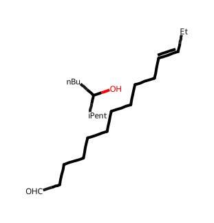 CCC=CCCCCCCCCCC=O.CCCCC(O)C(C)CCC